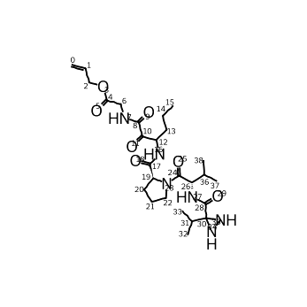 C=CCOC(=O)CNC(=O)C(=O)C(CCC)NC(=O)[C@@H]1CCCN1C(=O)[C@@H](NC(=O)C1(C(C)C)NN1)C(C)C